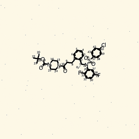 C[C@H](c1ccccc1CCC(=O)N1CCN(C(=O)OC(C)(C)C)CC1)N(c1cc(F)ccc1F)S(=O)(=O)c1ccc(Cl)cc1